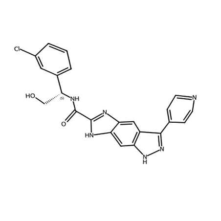 O=C(N[C@H](CO)c1cccc(Cl)c1)c1nc2cc3c(-c4ccncc4)n[nH]c3cc2[nH]1